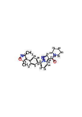 Cc1noc(C)c1-c1ccc(-c2cccc3c(C(=O)N4CCCCC4)cnn23)cc1